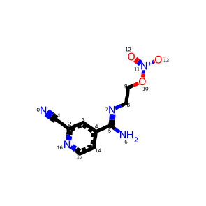 N#Cc1cc(C(N)=NCCO[N+](=O)[O-])ccn1